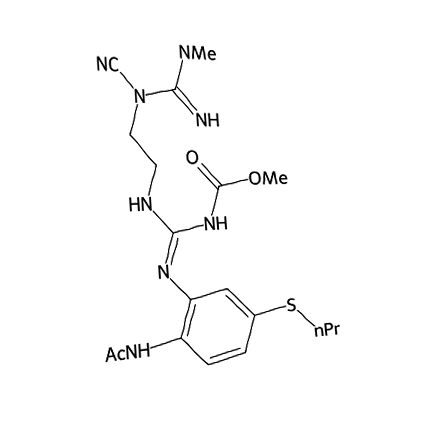 CCCSc1ccc(NC(C)=O)c(N=C(NCCN(C#N)C(=N)NC)NC(=O)OC)c1